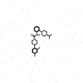 Cc1ccc(C2CCN(C(=O)Nc3ccccc3N3CCN(C(C)C)CC3)CC2)c(F)c1